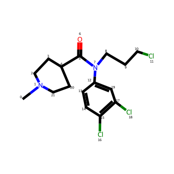 CN1CCC(C(=O)N(CCCCl)c2ccc(Cl)c(Cl)c2)CC1